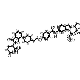 CN1CCC[C@@H]1c1cc2cnc(NC(=O)c3ccc(OCCC4CCN(c5cccc6c5CN(C5CCC(=O)NC5=O)C6=O)CC4)nc3)cc2n1C(=O)OC(C)(C)C